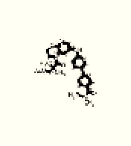 CC(=O)OCC(C)(C)C(=O)N1CCOc2ncc(Nc3ccc(-c4ccc(C(=O)N(C)C)cc4)cn3)cc21